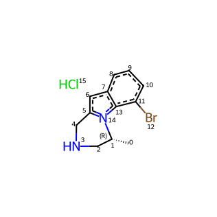 C[C@@H]1CNCc2cc3cccc(Br)c3n21.Cl